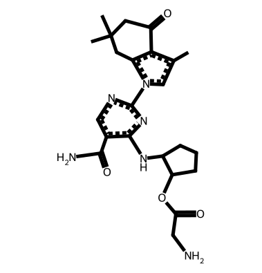 Cc1cn(-c2ncc(C(N)=O)c(NC3CCCC3OC(=O)CN)n2)c2c1C(=O)CC(C)(C)C2